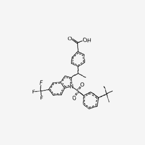 CC(c1ccc(C(=O)O)cc1)c1cc2cc(C(F)(F)F)ccc2n1S(=O)(=O)c1cccc(C(C)(C)C)c1